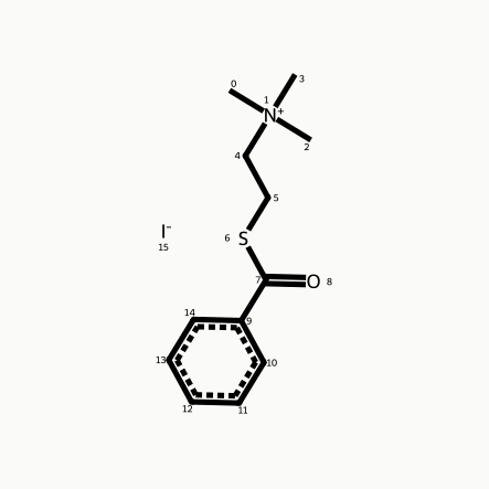 C[N+](C)(C)CCSC(=O)c1ccccc1.[I-]